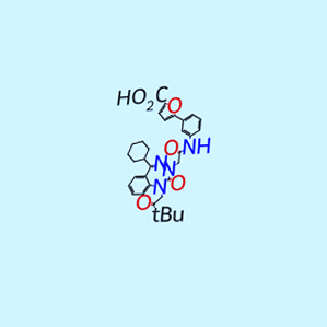 CC(C)(C)C(=O)CN1C(=O)N(CC(=O)Nc2cccc(-c3ccc(C(=O)O)o3)c2)N=C(C2CCCCC2)c2ccccc21